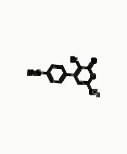 CSc1ccc(-c2cc(C(F)(F)F)oc(=O)c2Br)cc1